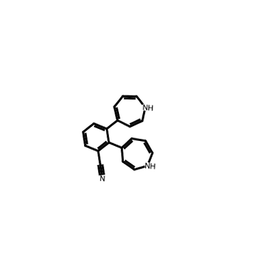 N#Cc1cccc(C2=CC=CNC=C2)c1C1=CC=CNC=C1